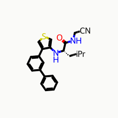 CC(C)C[C@H](Nc1cscc1-c1cccc(-c2ccccc2)c1)C(=O)NCC#N